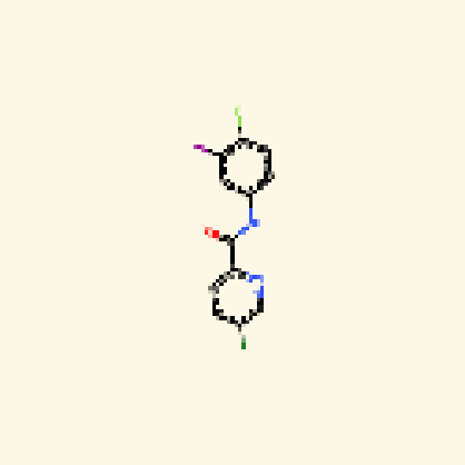 O=C(Nc1ccc(F)c(I)c1)c1ccc(Cl)cn1